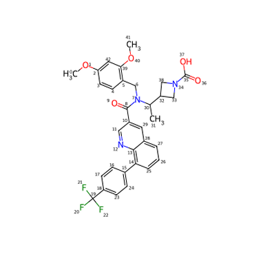 COc1ccc(CN(C(=O)c2cnc3c(-c4ccc(C(F)(F)F)cc4)cccc3c2)C(C)C2CN(C(=O)O)C2)c(OC)c1